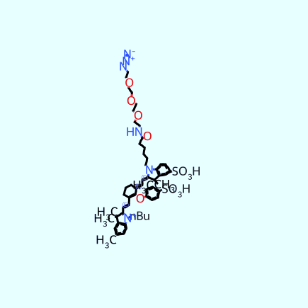 CCCC[N+]1=C(/C=C/C2=C(Oc3ccc(S(=O)(=O)O)cc3)C(=C/C=C3/N(CCCCCC(=O)NCCOCCOCCOCCN=[N+]=[N-])c4ccc(S(=O)(=O)O)cc4C3(C)C)/CCC2)C(C)(C)c2cc(C)ccc21